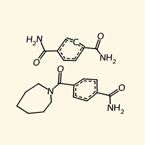 NC(=O)c1ccc(C(=O)N2CCCCCC2)cc1.NC(=O)c1ccc(C(N)=O)cc1